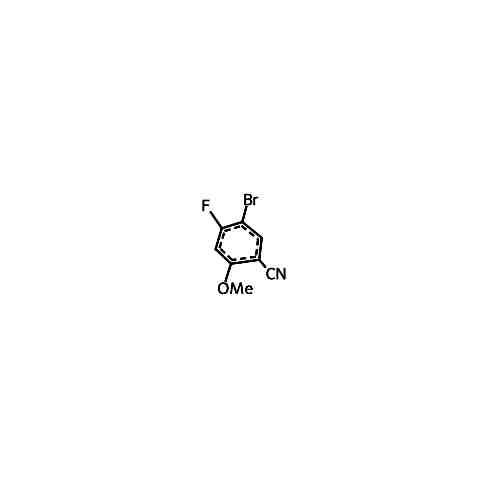 COc1cc(F)c(Br)cc1C#N